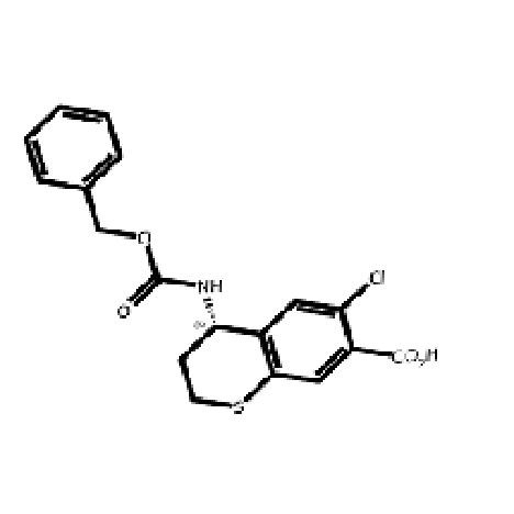 O=C(N[C@H]1CCSc2cc(C(=O)O)c(Cl)cc21)OCc1ccccc1